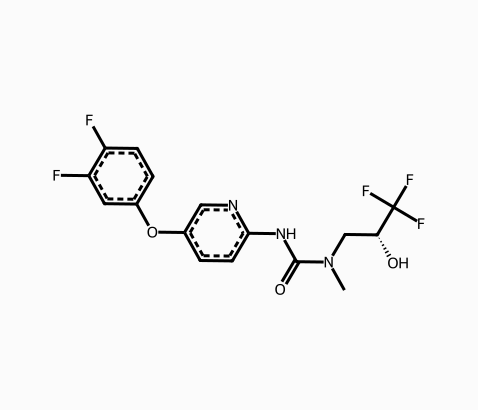 CN(C[C@@H](O)C(F)(F)F)C(=O)Nc1ccc(Oc2ccc(F)c(F)c2)cn1